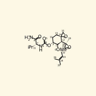 COC1[C@H](OC(=O)N[C@@H](C(N)=O)C(C)C)CC[C@]2(CO2)[C@H]1[C@@]1(C)O[C@@H]1CC=C(C)C